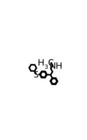 CNCCC(c1ccccc1)c1ccc(SC2CCCCC2)cc1